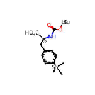 CC(C)(C)OC(=O)N[C@@H](Cc1cc[c]([Sn]([CH3])([CH3])[CH3])cc1)C(=O)O